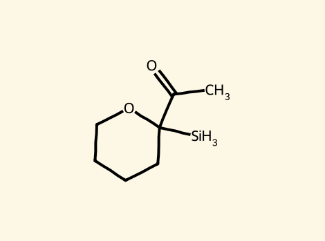 CC(=O)C1([SiH3])CCCCO1